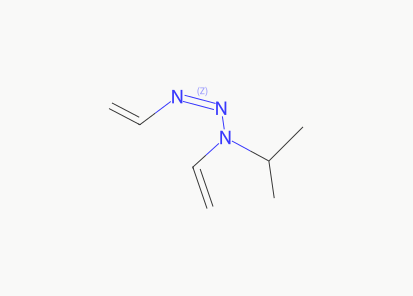 C=C/N=N\N(C=C)C(C)C